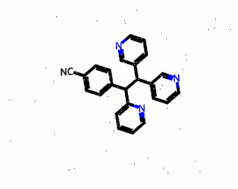 N#Cc1ccc(C(c2ccccn2)C(c2cccnc2)c2cccnc2)cc1